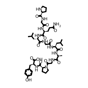 CC(C)C[C@H](NC(=O)CNC(=O)[C@H](CC(C)C)NC(=O)[C@H](CCC(N)=O)NC(=O)CNC(=O)[C@@H]1CCCN1)C(=O)N[C@@H](C)C(=O)NCC(=O)N1CCC[C@H]1C(=O)N[C@@H](Cc1ccc(O)cc1)C(=O)O